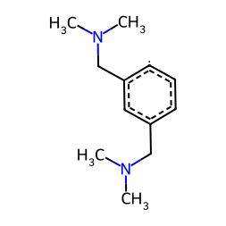 CN(C)Cc1[c]ccc(CN(C)C)c1